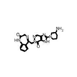 NC1CCCN(c2nc3cnn(CC4=NCC(=O)Nc5ccccc54)c(=O)c3[nH]2)C1